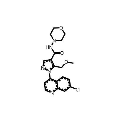 COCc1c(C(=O)NN2CCOCC2)cnn1-c1ccnc2cc(Cl)ccc12